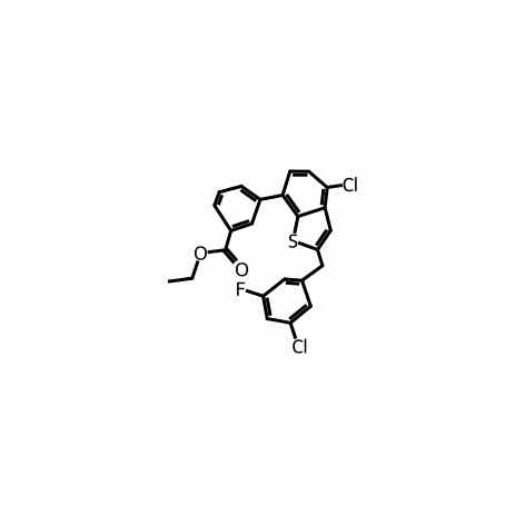 CCOC(=O)c1cccc(-c2ccc(Cl)c3cc(Cc4cc(F)cc(Cl)c4)sc23)c1